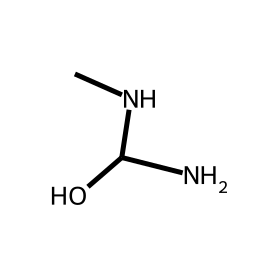 CNC(N)O